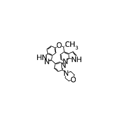 C[C@@H](Oc1ccc2[nH]nc(-c3ccc(N4CCOCC4)nc3)c2c1)c1ccnc2[nH]ccc12